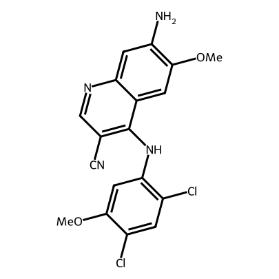 COc1cc2c(Nc3cc(OC)c(Cl)cc3Cl)c(C#N)cnc2cc1N